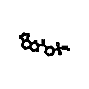 NS(=O)(=O)c1cccc(Nc2ncc3ccc4ncsc4c3n2)c1